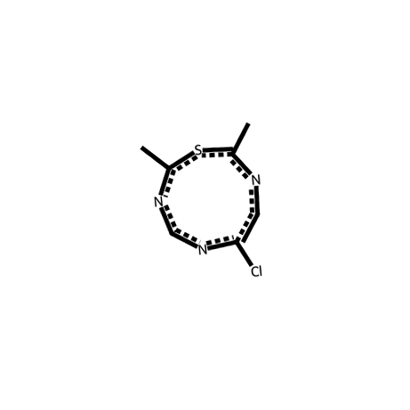 Cc1ncnc(Cl)cnc(C)s1